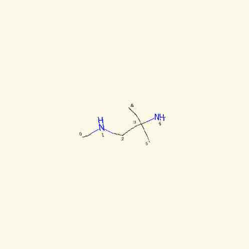 CNCC(C)(C)[NH]